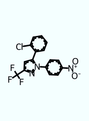 O=[N+]([O-])c1ccc(-n2nc(C(F)(F)F)cc2-c2ccccc2Cl)cc1